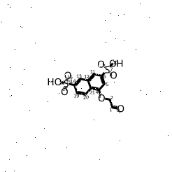 O=CCOc1cc(S(=O)(=O)O)cc2cc(S(=O)(=O)O)ccc12